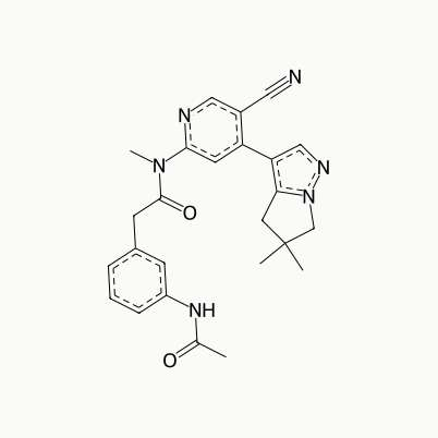 CC(=O)Nc1cccc(CC(=O)N(C)c2cc(-c3cnn4c3CC(C)(C)C4)c(C#N)cn2)c1